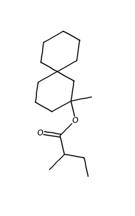 CCC(C)C(=O)OC1(C)CCCC2(CCCCC2)C1